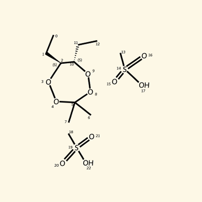 CC[C@@H]1OOC(C)(C)OO[C@H]1CC.CS(=O)(=O)O.CS(=O)(=O)O